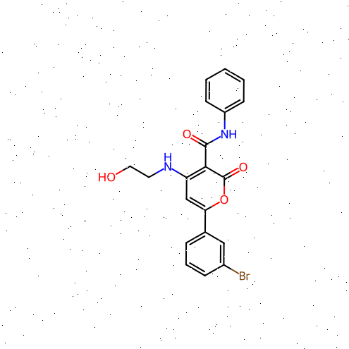 O=C(Nc1ccccc1)c1c(NCCO)cc(-c2cccc(Br)c2)oc1=O